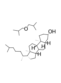 CC(C)CCC[C@@H](C)[C@H]1CC[C@H]2[C@@H]3CC[C@H]4C[C@@H](O)CC[C@]4(C)[C@H]3CC[C@]12C.CC(C)COCC(C)C